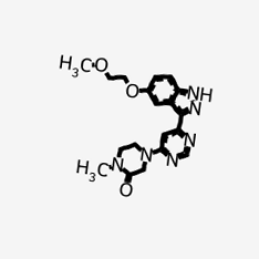 COCCOc1ccc2[nH]nc(-c3cc(N4CCN(C)C(=O)C4)ncn3)c2c1